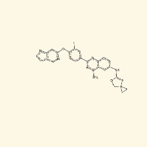 Cc1cc(-c2nc(N)c3cc(NC4=NC5(CC5)CO4)ccc3n2)ccc1Oc1cc2nncn2cn1